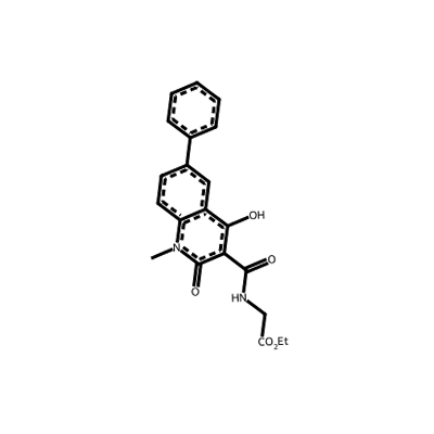 CCOC(=O)CNC(=O)c1c(O)c2cc(-c3ccccc3)ccc2n(C)c1=O